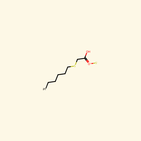 CC(C)CCCCCSCC(O)=[O+][S-]